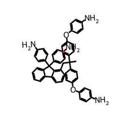 CC(Cc1cccc2c1C(c1ccc(N)cc1)(c1ccc(N)cc1)c1ccccc1-2)(c1ccc(Oc2ccc(N)cc2)cc1)c1ccc(Oc2ccc(N)cc2)cc1